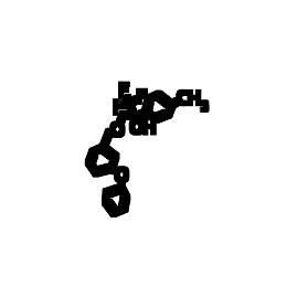 Cc1ccc(C(O)(COCc2cccc(Oc3ccccc3)c2)C(F)(F)F)cc1